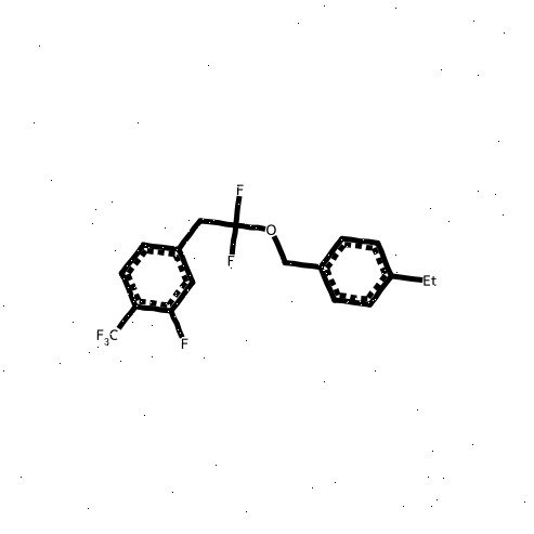 CCc1ccc(COC(F)(F)Cc2ccc(C(F)(F)F)c(F)c2)cc1